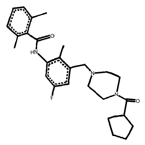 Cc1cccc(C)c1C(=O)Nc1cc(F)cc(CN2CCN(C(=O)C3CCCC3)CC2)c1C